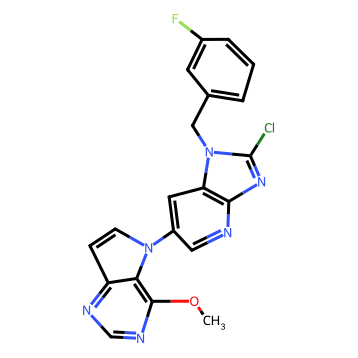 COc1ncnc2ccn(-c3cnc4nc(Cl)n(Cc5cccc(F)c5)c4c3)c12